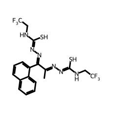 CC(=N\N=C(/S)NCC(F)(F)F)/C(=N/N=C(\S)NCC(F)(F)F)c1cccc2ccccc12